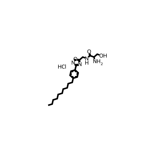 CCCCCCCCCCc1ccc(-c2noc(CNC(=O)C(N)CO)n2)cc1.Cl